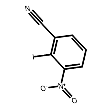 N#Cc1cccc([N+](=O)[O-])c1I